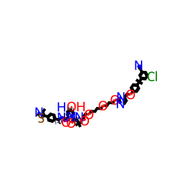 Cc1ncsc1-c1ccc([C@H](C)NC(=O)[C@@H]2C[C@@H](O)CN2C(=O)[C@@H](NC(=O)COCCCCOCCCOc2nccc(COc3ccc(C(C)(C)c4cc(Cl)cc(C#N)c4)cc3)n2)C(C)(C)C)cc1